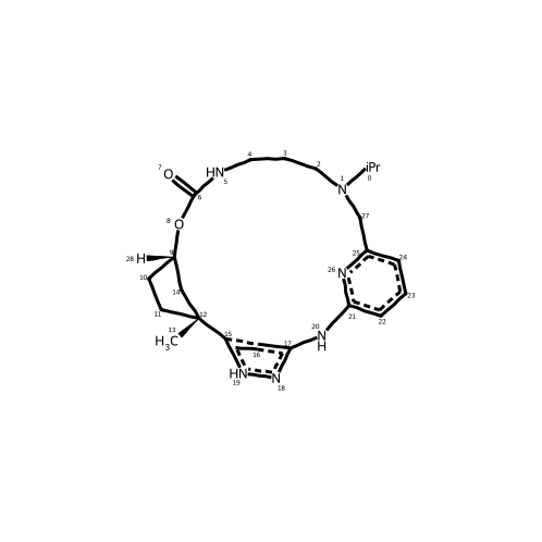 CC(C)N1CCCNC(=O)O[C@H]2CC[C@](C)(C2)c2cc(n[nH]2)Nc2cccc(n2)C1